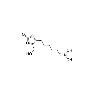 O=c1oc(CO)c(CCCCCON(O)O)o1